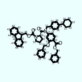 O=C(OCc1ccccc1)c1ccc(N(Cc2ccc(C3CCCCC3)cc2)C(=O)[C@H]2CCCN2C(=O)OCC2c3ccccc3-c3ccccc32)cc1OCc1ccccc1